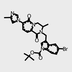 Cc1cn(-c2ccc3n(c2=O)CC(C)N(Cc2cn(C(=O)OC(C)(C)C)c4ccc(Br)cc24)C3=O)cn1